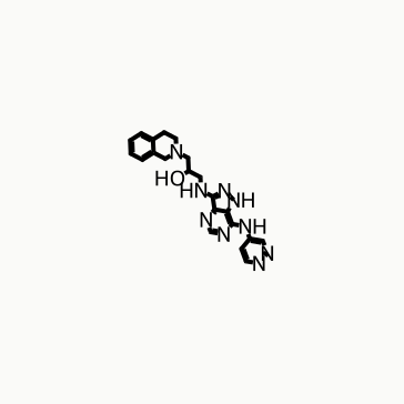 OC(CNc1n[nH]c2c(Nc3ccnnc3)ncnc12)CN1CCc2ccccc2C1